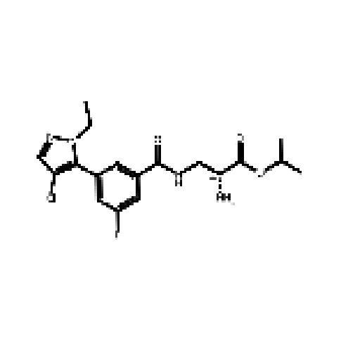 CCn1ncc(Cl)c1-c1cc(F)cc(C(=O)NC[C@@H](N)C(=O)OC(C)C)c1